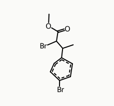 COC(=O)C(Br)C(C)c1ccc(Br)cc1